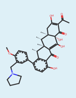 COc1ccc(-c2ccc(O)c3c2[C@H](C)[C@]2(C)C(=C(O)[C@]4(O)C(=O)C(C(C)=O)=C(O)C[C@]4(C)[C@H]2C)C3=O)cc1CN1CCCC1